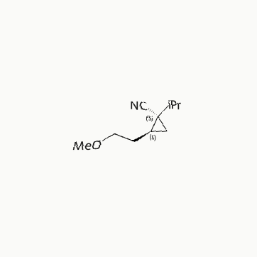 COCC[C@@H]1C[C@]1(C#N)C(C)C